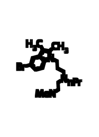 CCCN(CCCn1c(C)c(C)c2cc(Br)ccc21)CCNC